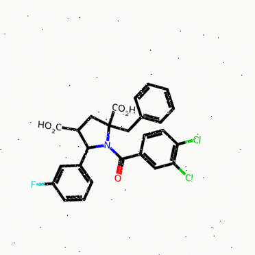 O=C(O)C1CC(Cc2ccccc2)(C(=O)O)N(C(=O)c2ccc(Cl)c(Cl)c2)C1c1cccc(F)c1